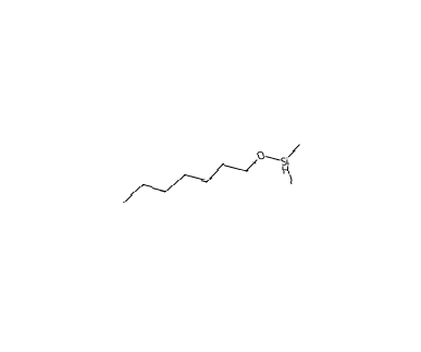 CCCCCCCO[SiH](C)C